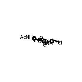 CC(=O)Nc1ccc(CCS(=O)(=O)N2CCC3(CC2)N=C([C@H]2CC[C@H](CCCCl)CC2)NC3=O)c(C)c1